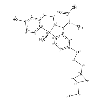 C[C@H](CN1CCc2cc(O)ccc2[C@@]1(C)c1ccc(OCCN2CC(CF)C2)cc1)C(=O)O